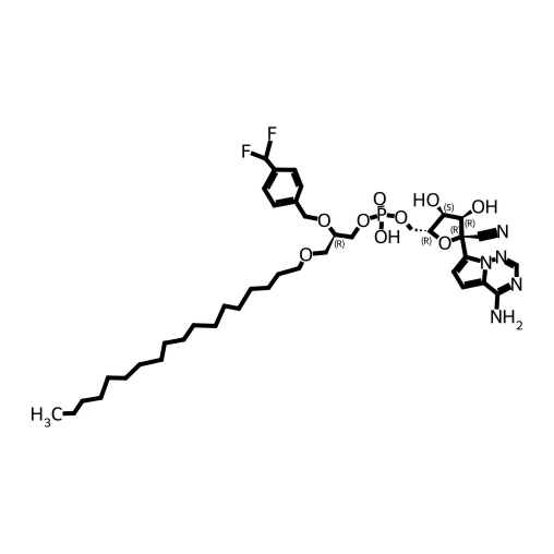 CCCCCCCCCCCCCCCCCCOC[C@H](COP(=O)(O)OC[C@H]1O[C@@](C#N)(c2ccc3c(N)ncnn23)[C@H](O)[C@@H]1O)OCc1ccc(C(F)F)cc1